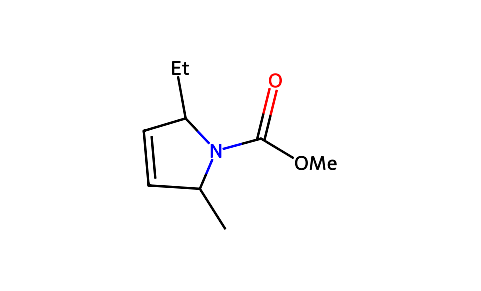 CCC1C=CC(C)N1C(=O)OC